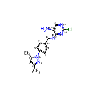 CCc1cc(C(F)(F)F)nn1-c1ccc(CNc2nc(Cl)ncc2N)cc1